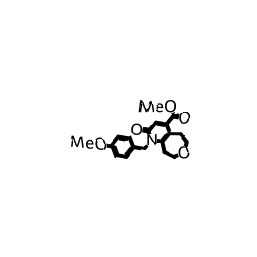 COC(=O)c1cc(=O)n(Cc2ccc(OC)cc2)c2c1CCOCC2